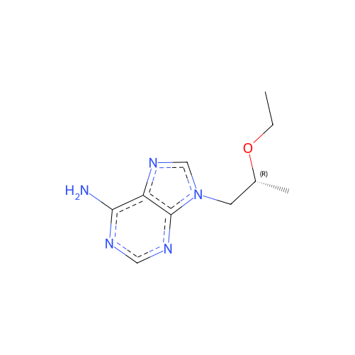 CCO[C@H](C)Cn1cnc2c(N)ncnc21